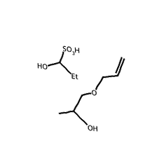 C=CCOCC(C)O.CCC(O)S(=O)(=O)O